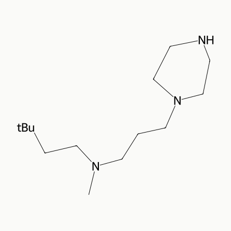 CN(CCCN1CCNCC1)CCC(C)(C)C